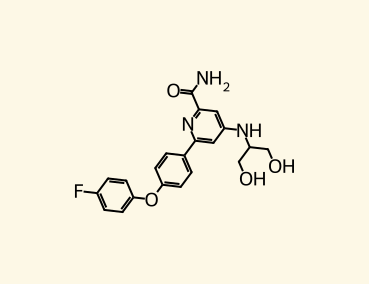 NC(=O)c1cc(NC(CO)CO)cc(-c2ccc(Oc3ccc(F)cc3)cc2)n1